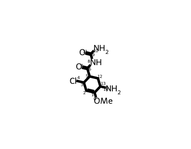 COC1=CC(Cl)C(C(=O)NC(N)=O)CC1N